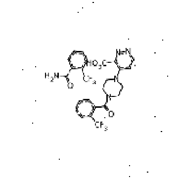 NC(=O)c1ccccc1C(F)(F)F.O=C(O)c1nnccc1N1CCN(C(=O)c2ccccc2C(F)(F)F)CC1